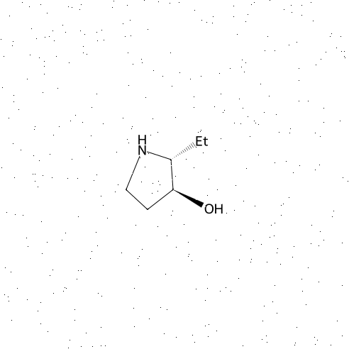 CC[C@H]1NCC[C@@H]1O